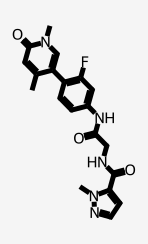 Cc1cc(=O)n(C)cc1-c1ccc(NC(=O)CNC(=O)c2ccnn2C)cc1F